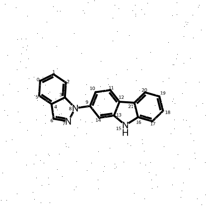 c1ccc2c(c1)cnn2-c1ccc2c(c1)[nH]c1ccccc12